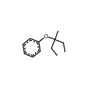 CCC(C)(CC)Oc1ccccc1